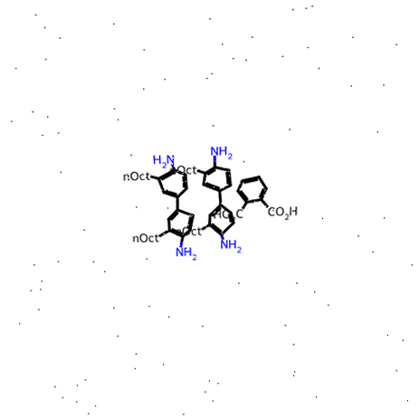 CCCCCCCCc1cc(-c2ccc(N)c(CCCCCCCC)c2)ccc1N.CCCCCCCCc1cc(-c2ccc(N)c(CCCCCCCC)c2)ccc1N.O=C(O)c1ccccc1C(=O)O